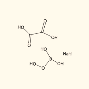 O=C(O)C(=O)O.OOB(O)O.[NaH]